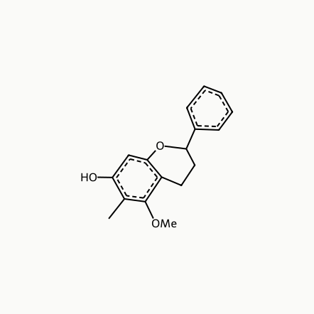 COc1c(C)c(O)cc2c1CCC(c1ccccc1)O2